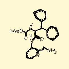 COC(=O)NC(C(=O)Nc1cccnc1CN)C(c1ccccc1)c1ccccc1